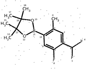 Cc1cc(C(F)F)c(F)cc1B1OC(C)(C)C(C)(C)O1